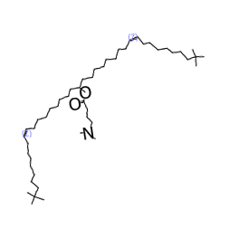 CN(C)CCCC(=O)OC(CCCCCCCC/C=C\CCCCCCCC(C)(C)C)CCCCCCCC/C=C\CCCCCCCC(C)(C)C